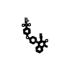 Cn1c(=O)c(C#N)c(N2CCC(Oc3ccc(S(N)(=O)=O)cc3)CC2)c2ccccc21